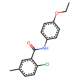 CCOc1ccc(NC(=O)c2cc(C)ccc2Cl)cc1